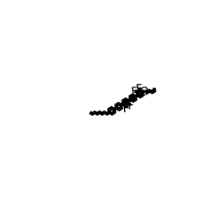 C/C=C\CCOc1ccc(-c2ccc(-c3ccc(C4=CCC(C5CCC(CCCCCCCC)CC5)CC4)c(F)c3F)cc2)c(F)c1F